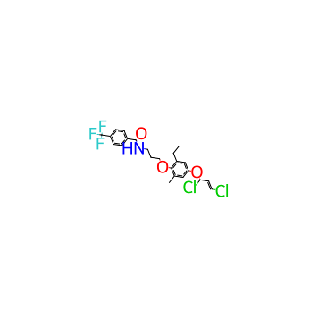 CCc1cc(OC(Cl)C=CCl)cc(C)c1OCCCNC(=O)c1ccc(C(F)(F)F)cc1